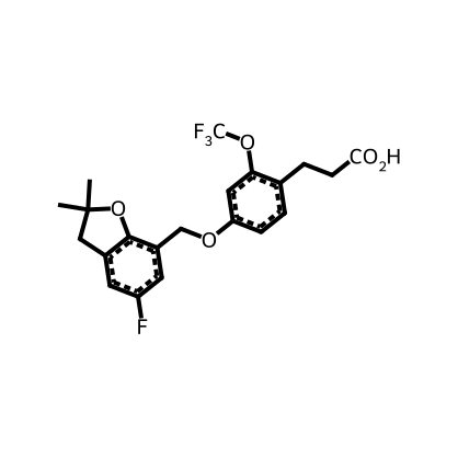 CC1(C)Cc2cc(F)cc(COc3ccc(CCC(=O)O)c(OC(F)(F)F)c3)c2O1